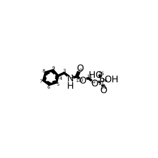 O=C(NCc1ccccc1)OCOP(=O)(O)O